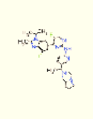 Cc1nc2c(F)cc(-c3nc(Nc4ccc([C@H](C)N5CCN6CCCC6C5)cn4)ncc3F)cc2n1C(C)C